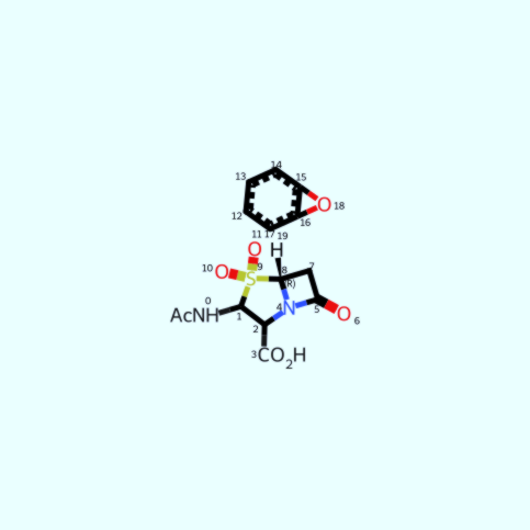 CC(=O)NC1C(C(=O)O)N2C(=O)C[C@H]2S1(=O)=O.c1ccc2c(c1)O2